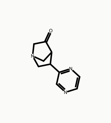 O=C1CN2CC1C(c1cnccn1)C2